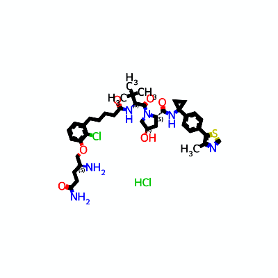 Cc1ncsc1-c1ccc(C2(NC(=O)[C@@H]3C[C@@H](O)CN3C(=O)[C@@H](NC(=O)CCCCc3cccc(OC[C@@H](N)CCC(N)=O)c3Cl)C(C)(C)C)CC2)cc1.Cl